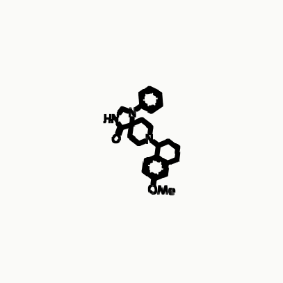 COc1ccc2c(c1)CCCC2N1CCC2(CC1)C(=O)NCN2c1ccccc1